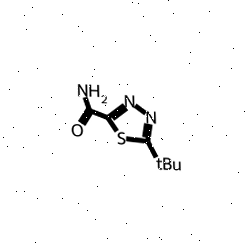 CC(C)(C)c1nnc(C(N)=O)s1